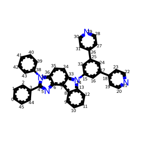 c1ccc(-c2nc3c4c5ccccc5n(-c5cc(-c6ccncc6)cc(-c6ccncc6)c5)c4ccc3n2-c2ccccc2)cc1